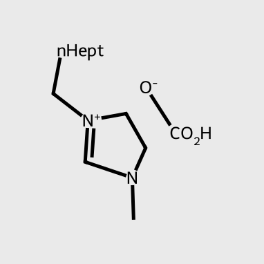 CCCCCCCC[N+]1=CN(C)CC1.O=C([O-])O